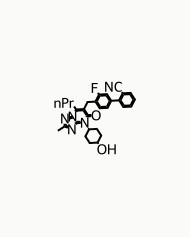 CCCc1c(Cc2ccc(-c3ccccc3C#N)cc2F)c(=O)n([C@H]2CC[C@H](O)CC2)c2nc(C)nn12